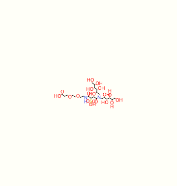 O=C(O)CCOCCOCCNC(=O)C(CC(=O)N(C[C@H](O)[C@@H](O)[C@H](O)[C@H](O)CO)C[C@H](O)[C@@H](O)[C@H](O)[C@H](O)CO)S(=O)(=O)O